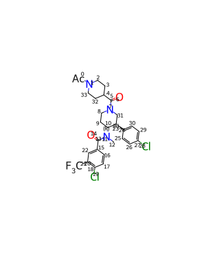 CC(=O)N1CCC(C(=O)N2CC[C@@H](N(C)C(=O)c3ccc(Cl)c(C(F)(F)F)c3)[C@H](c3ccc(Cl)cc3)C2)CC1